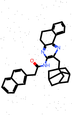 O=C(Cc1ccc2ccccc2c1)Nc1nc2c(nc1CC13CC4CC(CC(C4)C1)C3)-c1ccccc1CC2